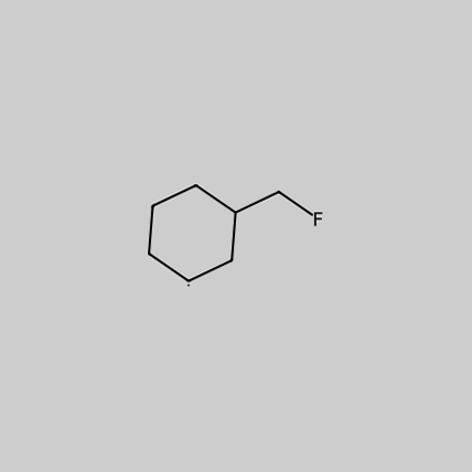 FCC1C[CH]CCC1